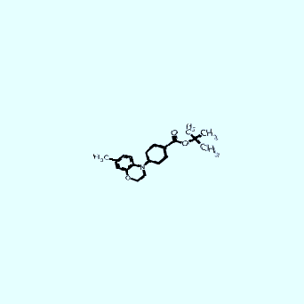 Cc1ccc2c(c1)OCCN2C1CCC(C(=O)OC(C)(C)C)CC1